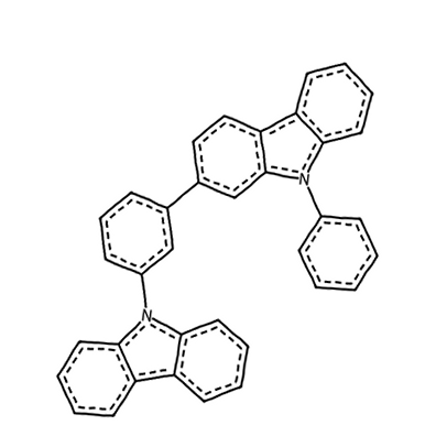 c1ccc(-n2c3ccccc3c3ccc(-c4cccc(-n5c6ccccc6c6ccccc65)c4)cc32)cc1